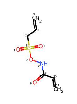 C=CCS(=O)(=O)ONC(=O)C=C